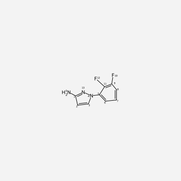 Nc1ccn(-c2cccc(F)c2F)n1